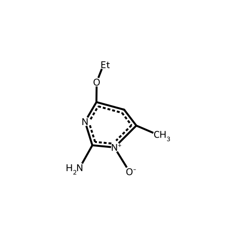 CCOc1cc(C)[n+]([O-])c(N)n1